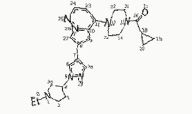 CCN1CCC(n2cc(-c3cc4c(N5CCN(C(=O)C6CC6)CC5)ccnn4c3)cn2)C1